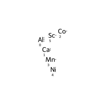 [Al].[Ca].[Co].[Mn].[Ni].[Sc]